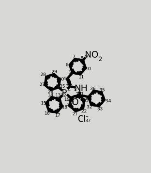 O=C(NC(=Cc1ccc([N+](=O)[O-])cc1)[P+](c1ccccc1)(c1ccccc1)c1ccccc1)c1ccccc1.[Cl-]